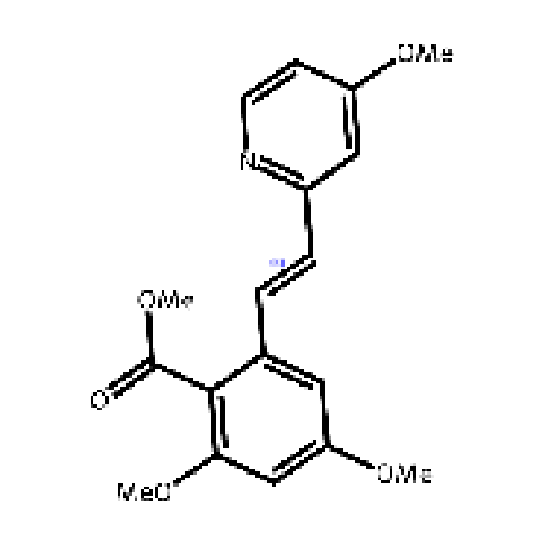 COC(=O)c1c(/C=C/c2cc(OC)ccn2)cc(OC)cc1OC